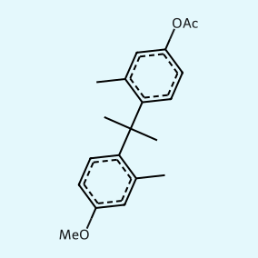 COc1ccc(C(C)(C)c2ccc(OC(C)=O)cc2C)c(C)c1